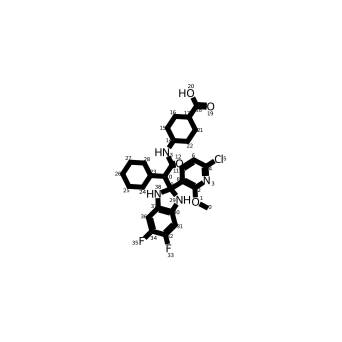 COc1nc(Cl)ccc1C1(C(C(=O)NC2CCC(C(=O)O)CC2)C2CCCCC2)Nc2cc(F)c(F)cc2N1